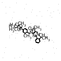 CC(C)c1ccccc1-c1ncc2c(n1)n(CC1C=CC(B3OC(C)(C)C(C)(C)O3)=CC1C)c(=O)n2C